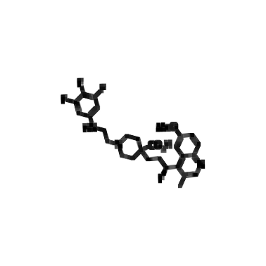 COc1ccc2ncc(C)c([C@@H](F)CCC3(C(=O)O)CCN(CCNc4cc(F)c(F)c(F)c4)CC3)c2c1